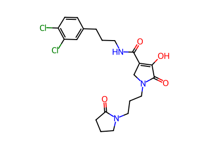 O=C(NCCCc1ccc(Cl)c(Cl)c1)C1=C(O)C(=O)N(CCCN2CCCC2=O)C1